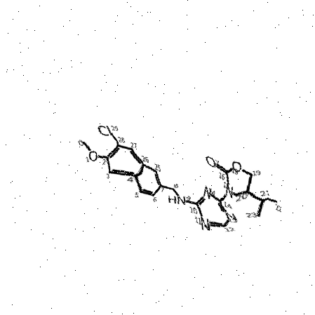 COc1cc2ccc(CNc3ncnc(N4C(=O)OCC4C(C)C)n3)cc2cc1Cl